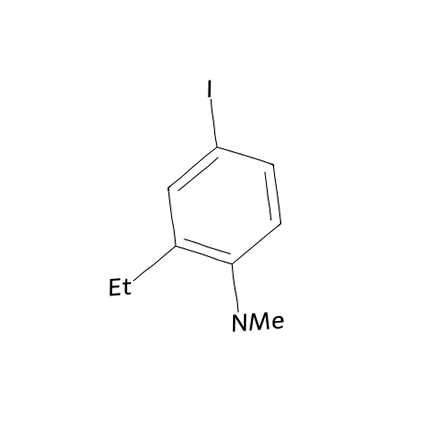 CCc1cc(I)ccc1NC